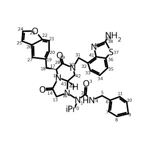 CC(C)N(C(=O)NCc1ccccc1)N1CC(=O)N2[C@@H](Cc3ccc4occc4c3)C(=O)N(Cc3cccc4sc(N)nc34)C[C@@H]21